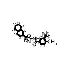 Cc1ccc(C(=O)Nc2nnc(-c3ccc4c(c3)CCCC4)o2)cc1C(F)(F)F